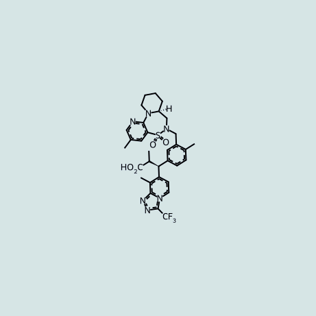 Cc1cnc2c(c1)S(=O)(=O)N(Cc1cc([C@@H](c3ccn4c(C(F)(F)F)nnc4c3C)C(C)C(=O)O)ccc1C)C[C@@H]1CCCCN21